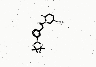 C[C@H]1CC[C@@H](C(=O)O)CN1C(=O)Cc1cccc(B2OC(C)(C)C(C)(C)O2)c1